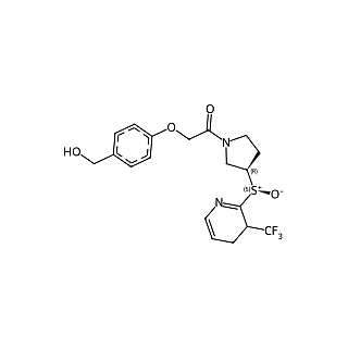 O=C(COc1ccc(CO)cc1)N1CC[C@@H]([S@@+]([O-])C2=NC=CCC2C(F)(F)F)C1